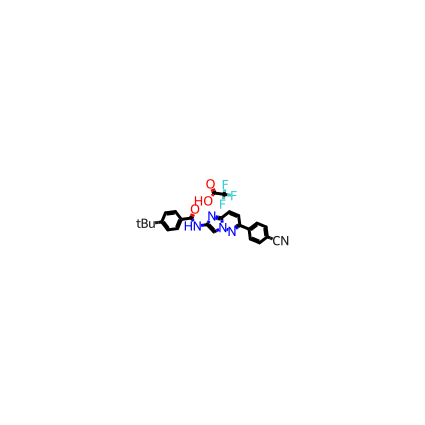 CC(C)(C)c1ccc(C(=O)Nc2cn3nc(-c4ccc(C#N)cc4)ccc3n2)cc1.O=C(O)C(F)(F)F